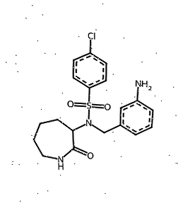 Nc1cccc(CN(C2CCCCNC2=O)S(=O)(=O)c2ccc(Cl)cc2)c1